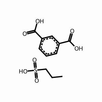 CCCS(=O)(=O)O.O=C(O)c1cccc(C(=O)O)c1